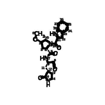 CO[C@@H]1C[C@@H](C(=O)N[C@H](C=O)C[C@@H]2CCNC2=O)N(C(=O)c2cc3ccccc3[nH]2)C1